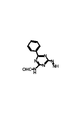 N=Nc1nc(NC=O)nc(-c2ccccc2)n1